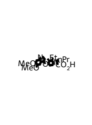 CCCC(CC)N(C(=O)O)c1ccc(Oc2ccnc3cc(OC)c(OC)cc23)c(C)c1C